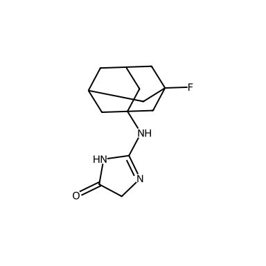 O=C1CN=C(NC23CC4CC(CC(F)(C4)C2)C3)N1